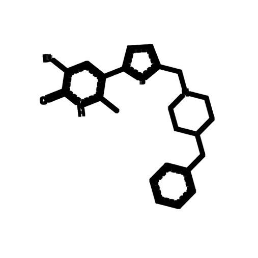 CCc1cc(-c2ccc(CN3CCC(Cc4ccccc4)CC3)s2)c(C)[nH]c1=O